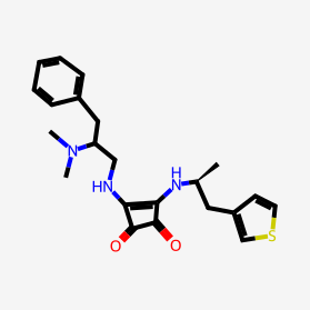 C[C@@H](Cc1ccsc1)Nc1c(NCC(Cc2ccccc2)N(C)C)c(=O)c1=O